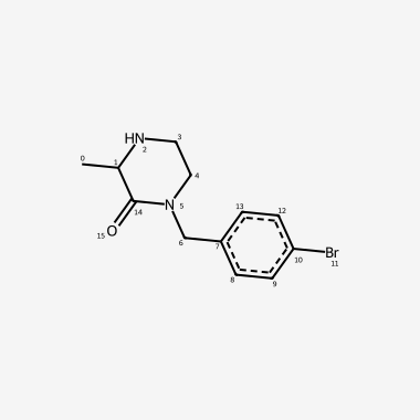 CC1NCCN(Cc2ccc(Br)cc2)C1=O